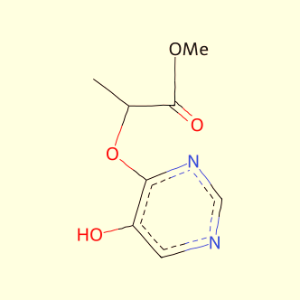 COC(=O)C(C)Oc1ncncc1O